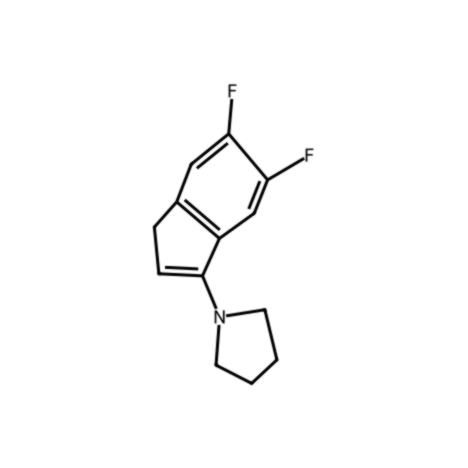 Fc1cc2c(cc1F)C(N1CCCC1)=CC2